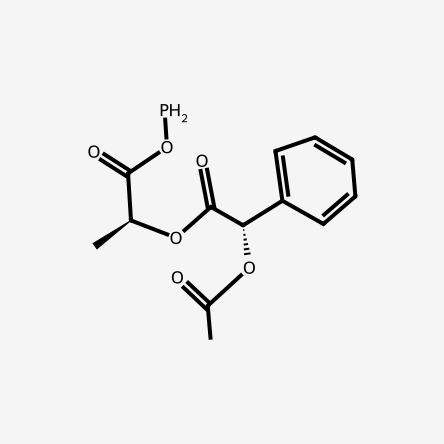 CC(=O)O[C@H](C(=O)O[C@@H](C)C(=O)OP)c1ccccc1